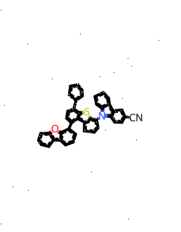 N#Cc1ccc2c(c1)c1ccccc1n2-c1cccc2c1sc1c(-c3ccccc3)ccc(-c3cccc4c3oc3ccccc34)c12